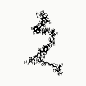 CC[C@@]1(O)C(=O)OCc2c1cc1n(c2=S)Cc2c-1nc1cc(F)c(C)c3c1c2[C@H](NC(=O)COC(=O)N(C)CCN(C)C(=O)OCc1ccc(NC(=O)[C@H](CCCNC(N)=O)NC(=O)[C@@H](NC(=O)CCCCCN2C(=O)CC(C(C)C)C2=O)C(C)C)cc1)CC3